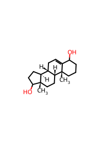 C[C@]12CCCC(O)C1=CC[C@@H]1[C@H]2CC[C@]2(C)C(O)CC[C@@H]12